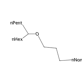 CCCCCCCCCCCCOC(CCCCC)CCCCCC